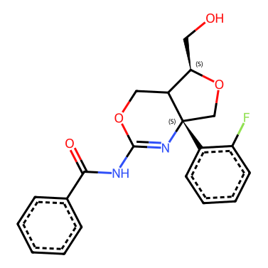 O=C(NC1=N[C@@]2(c3ccccc3F)CO[C@H](CO)C2CO1)c1ccccc1